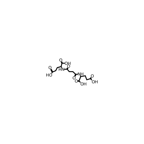 O=C(O)CCC(NC(=O)CCC(=O)NC(CCC(=O)O)C(=O)O)C(=O)O